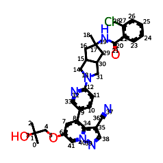 CC(C)(O)COc1cc(-c2ccc(N3CC4CC(C)(NC(=O)c5ccccc5Cl)CC4C3)nc2)c2c(C#N)cnn2c1